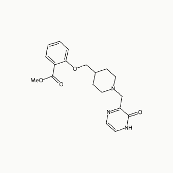 COC(=O)c1ccccc1OCC1CCN(Cc2ncc[nH]c2=O)CC1